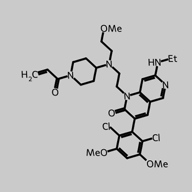 C=CC(=O)N1CCC(N(CCOC)CCn2c(=O)c(-c3c(Cl)c(OC)cc(OC)c3Cl)cc3cnc(NCC)cc32)CC1